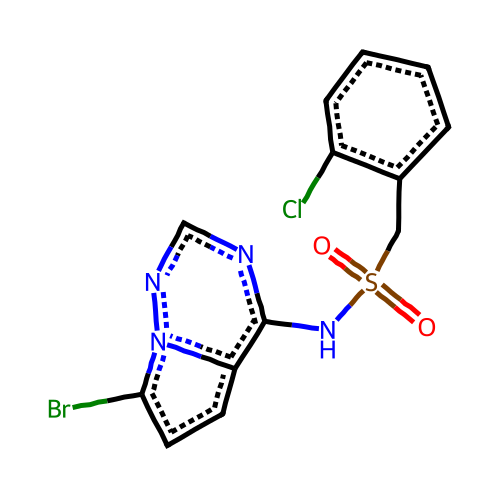 O=S(=O)(Cc1ccccc1Cl)Nc1ncnn2c(Br)ccc12